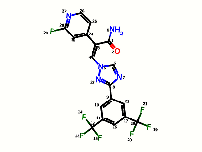 NC(=O)C(=Cn1cnc(-c2cc(C(F)(F)F)cc(C(F)(F)F)c2)n1)c1ccnc(F)c1